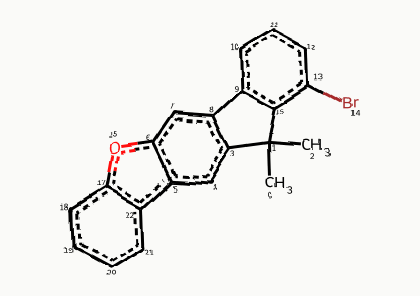 CC1(C)c2cc3c(cc2-c2cccc(Br)c21)oc1ccccc13